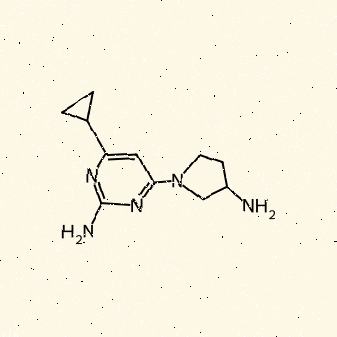 Nc1nc(C2CC2)cc(N2CCC(N)C2)n1